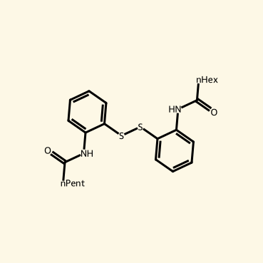 CCCCCCC(=O)Nc1ccccc1SSc1ccccc1NC(=O)CCCCC